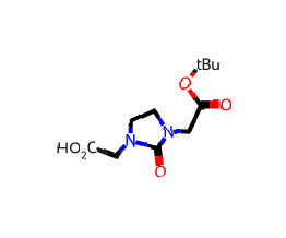 CC(C)(C)OC(=O)CN1CCN(CC(=O)O)C1=O